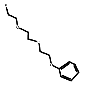 FCCOCCOCCOc1cc[c]cc1